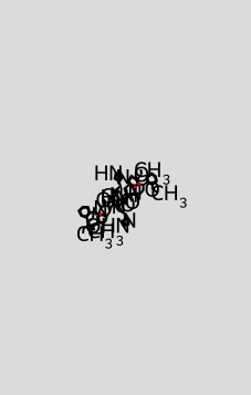 CCCCOC1(c2ccccc2)CN(C(=O)C(Cc2ccc(OC)cc2)N(C(=O)NCCc2c[nH]cn2)N(CCc2c[nH]cn2)C(=O)NC(Cc2ccc(OC)cc2)C(=O)N2CCC(c3ccccc3OC)CC2)C1